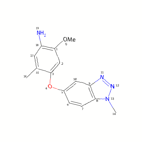 COc1cc(Oc2ccc3c(c2)nnn3C)c(C)cc1N